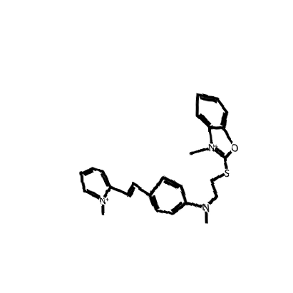 CN(CCSc1oc2ccccc2[n+]1C)c1ccc(/C=C/c2cccc[n+]2C)cc1